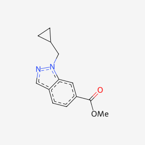 COC(=O)c1ccc2cnn(CC3CC3)c2c1